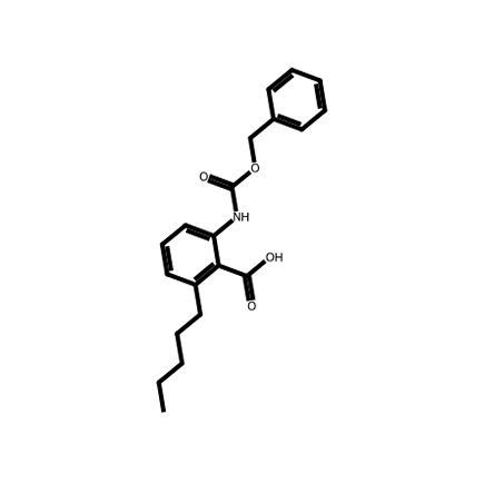 CCCCCc1cccc(NC(=O)OCc2ccccc2)c1C(=O)O